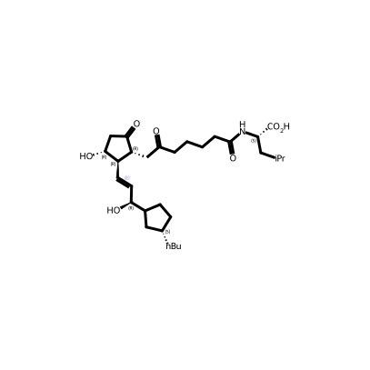 CCCC[C@H]1CCC([C@@H](O)/C=C/[C@H]2[C@H](O)CC(=O)[C@@H]2CC(=O)CCCCC(=O)N[C@@H](CC(C)C)C(=O)O)C1